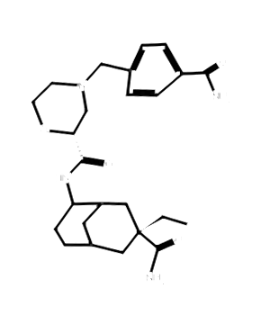 CC[C@@]1(C(N)=O)CC2CCC(NC(=O)[C@H]3CN(Cc4ccc(C(N)=O)cc4)CCO3)C(C2)C1